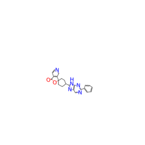 O=C1OC2(CCC(c3nc4cnc(-c5ccccc5)nc4[nH]3)CC2)c2cnccc21